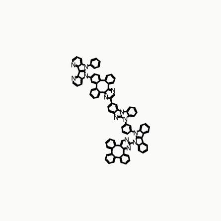 c1ccc(-n2c3cccnc3c3c4ncccc4n(-c4ccc5c(c4)-c4ccccc4-c4nc(-c6ccc7nc8n(-c9cccc(-n%10c%11ccccc%11c%11c%12ccccc%12n(-c%12ncc%13c(n%12)-c%12ccccc%12-c%12ccccc%12-c%12ccccc%12-%13)c%11%10)c9)c9ccccc9n8c7c6)cnc4-c4ccccc4-5)c32)cc1